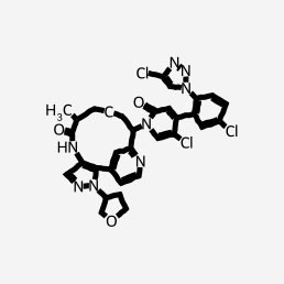 CC1CCCC(n2cc(Cl)c(-c3cc(Cl)ccc3-n3cc(Cl)nn3)cc2=O)c2cc(ccn2)-c2c(cnn2C2CCOC2)NC1=O